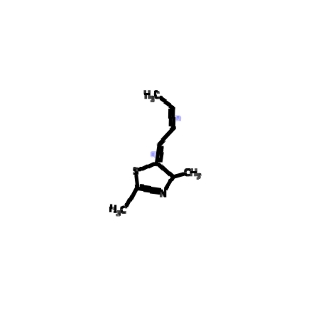 C/C=C\C=C1\SC(C)=NC1C